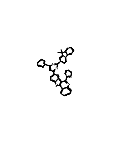 CC1(C)c2ccccc2-c2ccc(-c3nc(-c4ccccc4)cc(-c4ccc5sc6c7ccccc7nc(-c7ccccc7)c6c5c4)n3)cc21